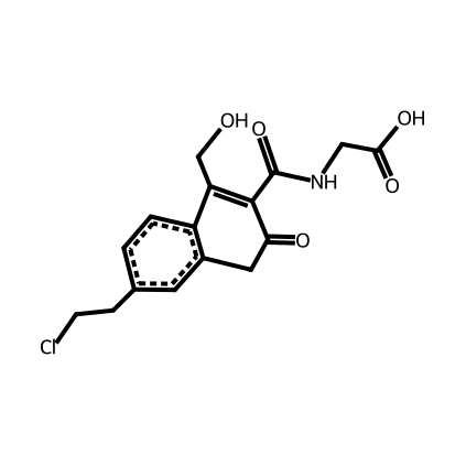 O=C(O)CNC(=O)C1=C(CO)c2ccc(CCCl)cc2CC1=O